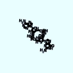 Nc1nc2c(ncn2[C@@H]2S[C@@H]3COP(=S)(S)O[C@H]4[C@H](F)[C@H](n5cnc6c(N)ncnc65)O[C@@H]4COP(O)(=S)O[C@@H]2[C@@H]3O)c(=O)[nH]1